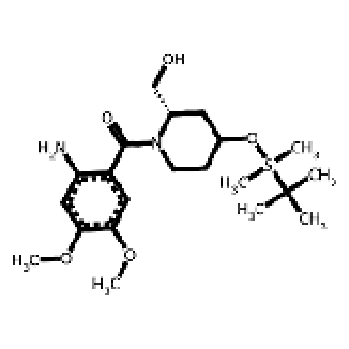 COc1cc(N)c(C(=O)N2CCC(O[Si](C)(C)C(C)(C)C)C[C@H]2CO)cc1OC